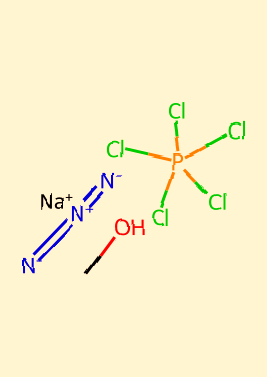 CO.ClP(Cl)(Cl)(Cl)Cl.[N-]=[N+]=[N-].[Na+]